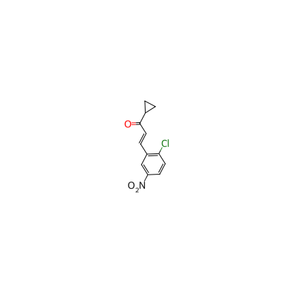 O=C(/C=C/c1cc([N+](=O)[O-])ccc1Cl)C1CC1